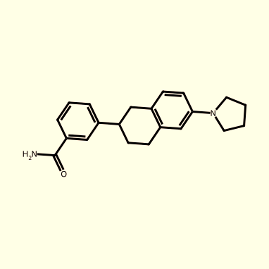 NC(=O)c1cccc(C2CCc3cc(N4CCCC4)ccc3C2)c1